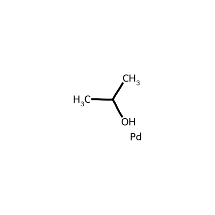 CC(C)O.[Pd]